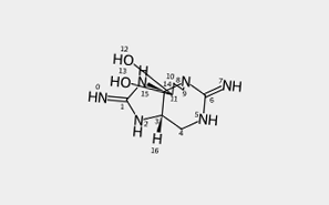 N=C1N[C@H]2CNC(=N)N3CCC(O)(O)[C@]23N1